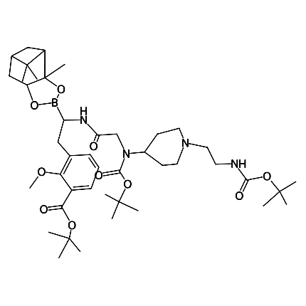 COc1c(CC(NC(=O)CN(C(=O)OC(C)(C)C)C2CCN(CCNC(=O)OC(C)(C)C)CC2)B2OC3CC4CC(C4(C)C)C3(C)O2)cccc1C(=O)OC(C)(C)C